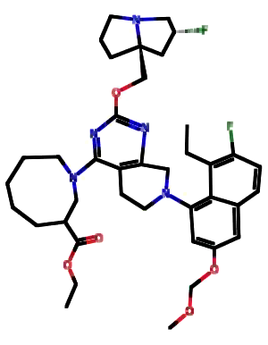 CCOC(=O)C1CCCCCN(c2nc(OC[C@@]34CCCN3C[C@H](F)C4)nc3c2CCN(c2cc(OCOC)cc4ccc(F)c(CC)c24)C3)C1